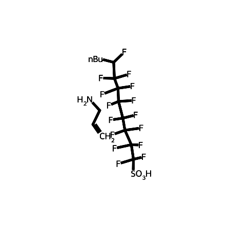 C=CCN.CCCCC(F)C(F)(F)C(F)(F)C(F)(F)C(F)(F)C(F)(F)C(F)(F)C(F)(F)S(=O)(=O)O